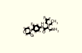 CCN(CC(F)F)[C@@H](CN)C(=O)Nc1ccc(N2CCOCC2=O)c(F)c1